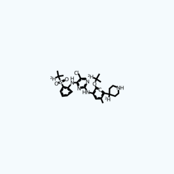 [2H]C(C)(C)Oc1cc(C2([2H])CCNCC2)c(C)cc1Nc1ncc(Cl)c(Nc2ccccc2S(=O)(=O)C([2H])(C)C)n1